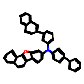 c1ccc(-c2ccc(N(c3cccc(-c4ccc5ccccc5c4)c3)c3ccc4c(c3)oc3c5ccccc5ccc43)cc2)cc1